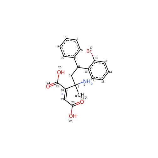 CC(N)(CC(c1ccccc1)c1ccccc1Br)/C(=C\C(=O)O)C(=O)O